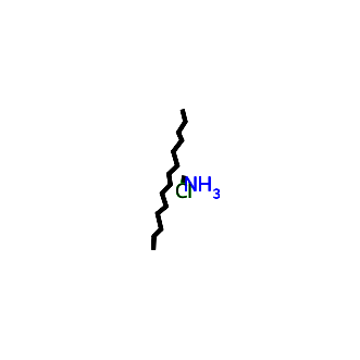 CCCCCCCCCCCCCC.CCl.N